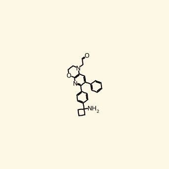 NC1(c2ccc(-c3nc4c(cc3-c3ccccc3)N(CC=O)CCO4)cc2)CCC1